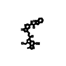 Cc1csc2c(O)cc3c(c12)[C@@H](CCl)CN3C(=O)/C=C/c1c[nH]c2ncc(NC(=O)c3cc4ccccc4[nH]3)cc12